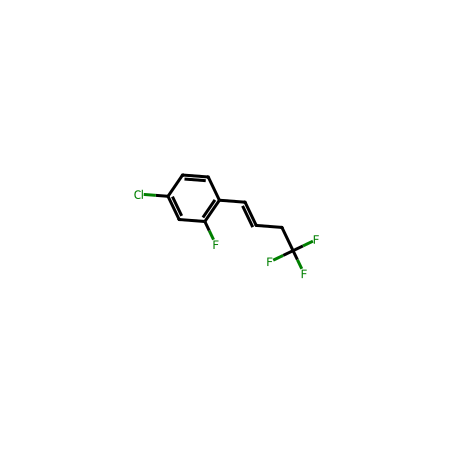 Fc1cc(Cl)ccc1C=CCC(F)(F)F